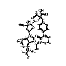 C#C[C@]1(O)C[C@H](n2cnc3c(NC(C)C)nc(Cl)nc32)O[C@@H]1COC(Cc1ccc(N2CCCN(CCO)C2=O)cc1)(C(=O)O)C(=O)O